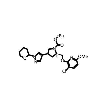 COc1ccc(Cl)c(OC[C@H]2CC(c3cnn(C4CCCCO4)c3)CN2C(=O)OC(C)(C)C)n1